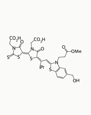 COC(=O)CCN1/C(=C/C(=c2/s/c(=C3\SC(=S)N(CC(=O)O)C3=O)n(CC(=O)O)c2=O)C(C)C)Sc2ccc(CO)cc21